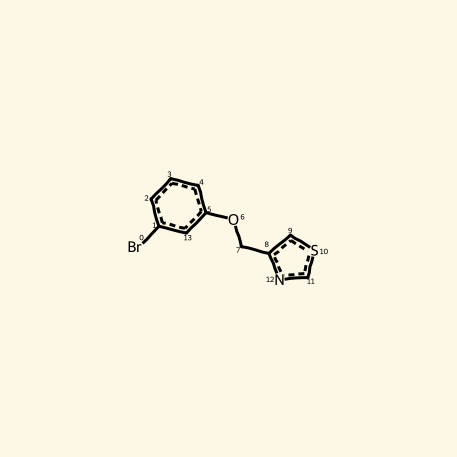 Brc1cccc(OCc2cscn2)c1